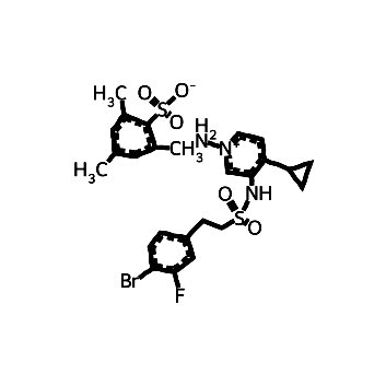 Cc1cc(C)c(S(=O)(=O)[O-])c(C)c1.N[n+]1ccc(C2CC2)c(NS(=O)(=O)CCc2ccc(Br)c(F)c2)c1